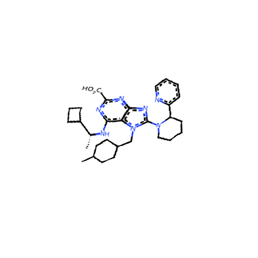 CC1CCC(Cn2c(N3CCCCC3c3ccccn3)nc3nc(C(=O)O)nc(N[C@H](C)C4CCC4)c32)CC1